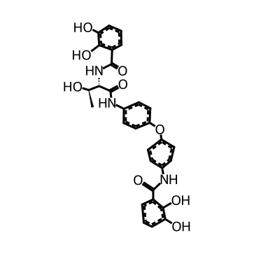 C[C@@H](O)[C@H](NC(=O)c1cccc(O)c1O)C(=O)Nc1ccc(Oc2ccc(NC(=O)c3cccc(O)c3O)cc2)cc1